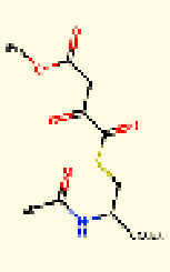 CCOC(=O)C(CSC(=O)C(=O)CC(=O)OC(C)C)NC(=O)CC